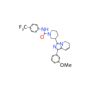 COc1cccc(-c2nc(C3CCCN(C(=O)Nc4ccc(C(F)(F)F)cc4)C3)n3c2C=CCC3)c1